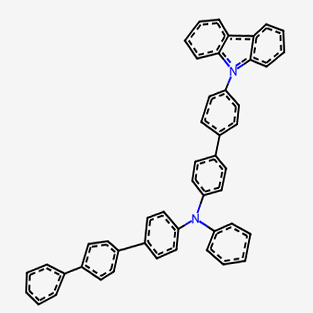 c1ccc(-c2ccc(-c3ccc(N(c4ccccc4)c4ccc(-c5ccc(-n6c7ccccc7c7ccccc76)cc5)cc4)cc3)cc2)cc1